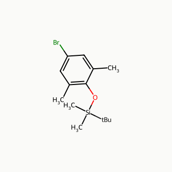 Cc1cc(Br)cc(C)c1O[Si](C)(C)C(C)(C)C